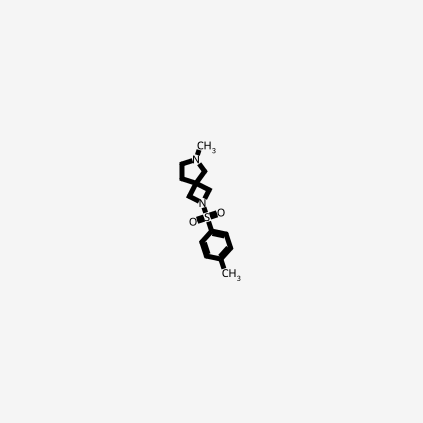 Cc1ccc(S(=O)(=O)N2CC3(CCN(C)C3)C2)cc1